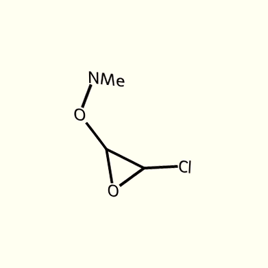 CNOC1OC1Cl